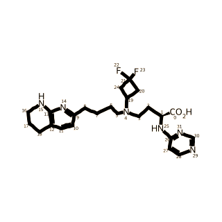 O=C(O)[C@H](CCN(CCCCc1ccc2c(n1)NCCC2)C1CC(F)(F)C1)Nc1ccncn1